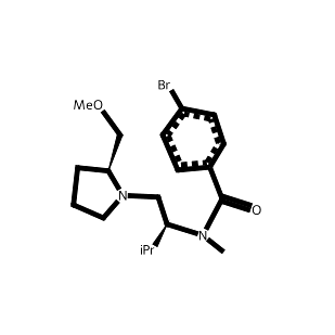 COC[C@@H]1CCCN1C[C@H](C(C)C)N(C)C(=O)c1ccc(Br)cc1